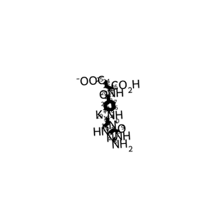 CN1c2c(nc(N)[nH]c2=O)NCC1CNc1ccc(C(=O)N[C@@H](CCC(=O)[O-])C(=O)O)cc1.[K+]